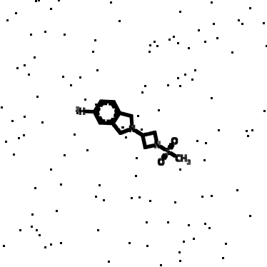 [2H]c1ccc2c(c1)CN(C1CN(S(C)(=O)=O)C1)C2